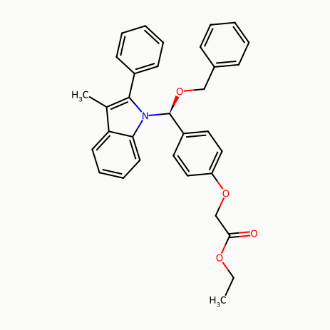 CCOC(=O)COc1ccc([C@H](OCc2ccccc2)n2c(-c3ccccc3)c(C)c3ccccc32)cc1